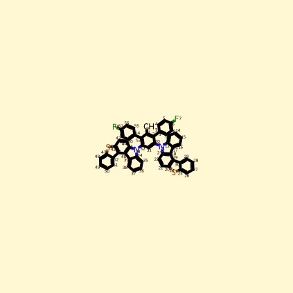 Cc1c(-c2ccc(F)cc2)c(-n2c3ccccc3c3c4c(ccc32)sc2ccccc24)cc(-n2c3ccccc3c3c4c(ccc32)sc2ccccc24)c1-c1ccc(F)cc1